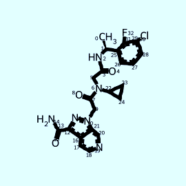 C[C@H](NC(=O)CN(C(=O)Cn1nc(C(N)=O)c2ccncc21)C1CC1)c1cccc(Cl)c1F